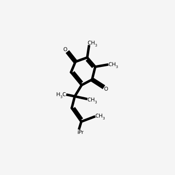 CC1=C(C)C(=O)C(C(C)(C)/C=C(\C)C(C)C)=CC1=O